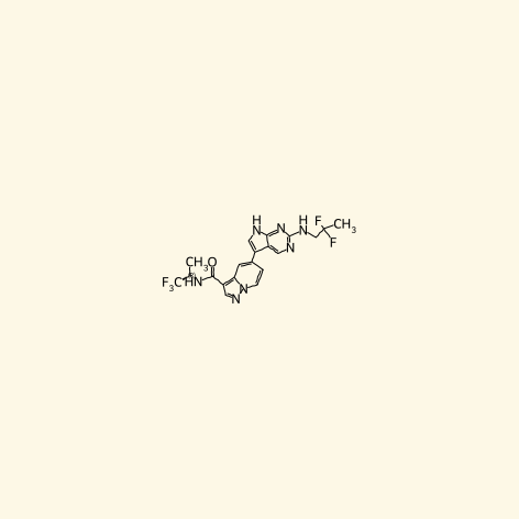 C[C@@H](NC(=O)c1cnn2ccc(-c3c[nH]c4nc(NCC(C)(F)F)ncc34)cc12)C(F)(F)F